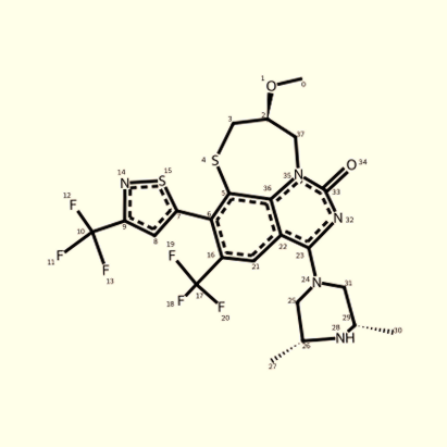 CO[C@@H]1CSc2c(-c3cc(C(F)(F)F)ns3)c(C(F)(F)F)cc3c(N4C[C@@H](C)N[C@@H](C)C4)nc(=O)n(c23)C1